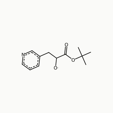 CC(C)(C)OC(=O)C([O])Cc1cccnc1